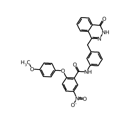 COc1ccc(Oc2ccc([N+](=O)[O-])cc2C(=O)Nc2cccc(Cc3n[nH]c(=O)c4ccccc34)c2)cc1